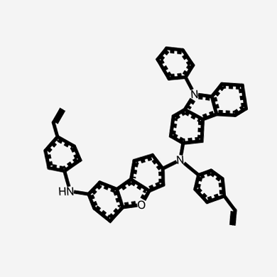 C=Cc1ccc(Nc2ccc3oc4cc(N(c5ccc(C=C)cc5)c5ccc6c(c5)c5ccccc5n6-c5ccccc5)ccc4c3c2)cc1